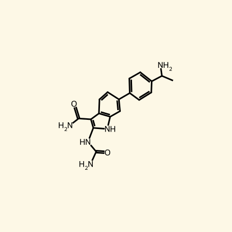 CC(N)c1ccc(-c2ccc3c(C(N)=O)c(NC(N)=O)[nH]c3c2)cc1